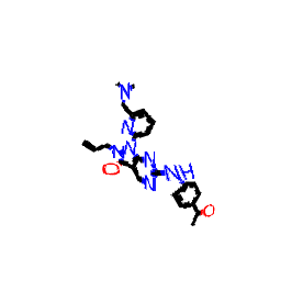 C=CCn1c(=O)c2cnc(Nc3ccc(C(C)=O)cc3)nc2n1-c1cccc(CN(C)C)n1